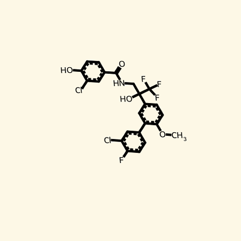 COc1ccc(C(O)(CNC(=O)c2ccc(O)c(Cl)c2)C(F)(F)F)cc1-c1ccc(F)c(Cl)c1